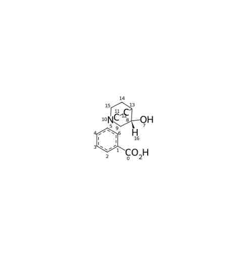 O=C(O)c1ccccc1.O[C@@H]1CN2CCC1CC2